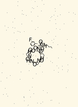 CCCC/C=C/C(=O)N[C@@H](Cc1cccc(F)c1)C(=O)N[C@H]1COC(=O)[C@@H]2CCCN2C(=O)[C@H](C)NC(=O)C2(CCC2)N(C)C(=O)[C@@H]2CCCC2C1=O